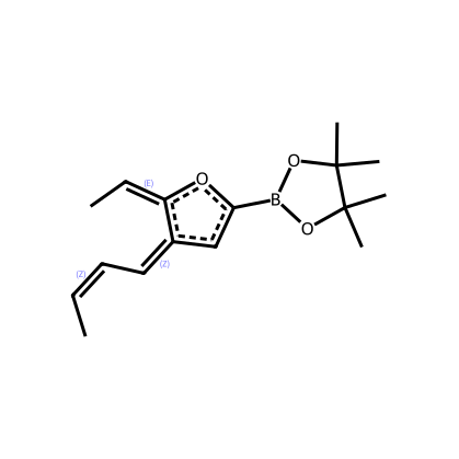 C\C=C/C=c1/cc(B2OC(C)(C)C(C)(C)O2)o/c1=C/C